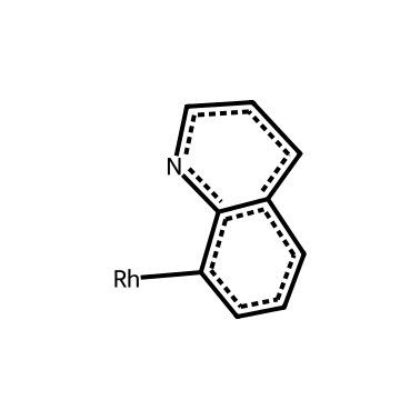 [Rh][c]1cccc2cccnc12